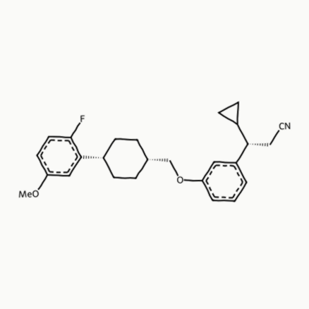 COc1ccc(F)c([C@H]2CC[C@@H](COc3cccc([C@@H](CC#N)C4CC4)c3)CC2)c1